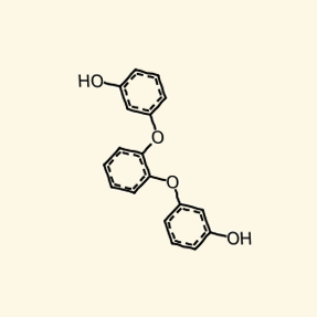 Oc1cccc(Oc2ccccc2Oc2cccc(O)c2)c1